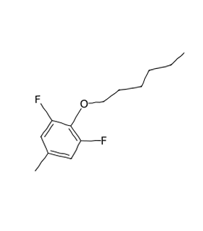 CCCCCCOc1c(F)cc(C)cc1F